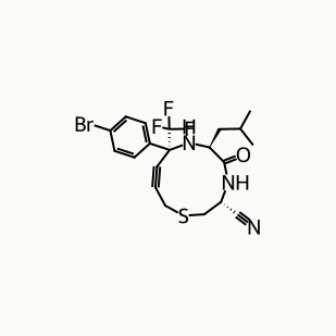 CC(C)C[C@@H]1N[C@@](c2ccc(Br)cc2)(C(F)(F)F)C#CCSC[C@@H](C#N)NC1=O